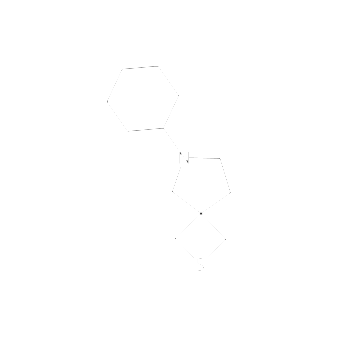 C1CCC(N2CCC3(CSC3)C2)CC1